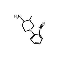 CC1CN(c2ccccc2C#N)CCC1N